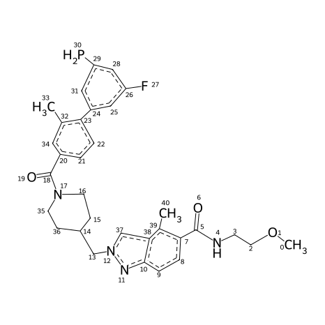 COCCNC(=O)c1ccc2nn(CC3CCN(C(=O)c4ccc(-c5cc(F)cc(P)c5)c(C)c4)CC3)cc2c1C